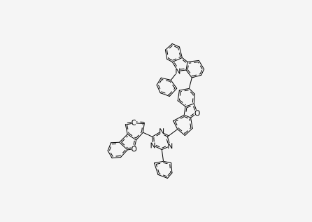 c1ccc(-c2nc(-c3ccc4oc5cc(-c6cccc7c8ccccc8n(-c8ccccc8)c67)ccc5c4c3)nc(-c3cccc4c3oc3ccccc34)n2)cc1